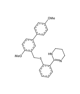 COc1ccc(-c2ccc(OC)c(CSc3ccccc3C3=NCCCN3)c2)cc1